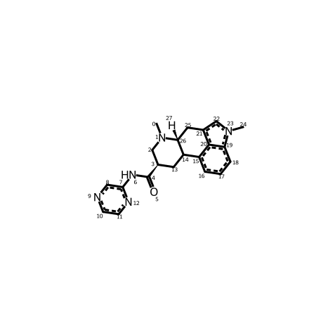 CN1C[C@H](C(=O)Nc2cnccn2)CC2c3cccc4c3c(cn4C)C[C@H]21